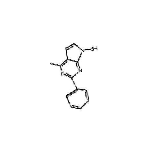 Cc1nc(-c2ccccc2)nc2c1ccn2S